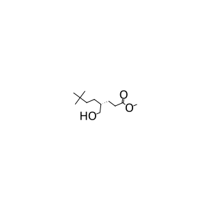 COC(=O)CC[C@H](CO)CCC(C)(C)C